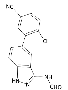 N#Cc1ccc(Cl)c(-c2ccc3[nH]nc(NC=O)c3c2)c1